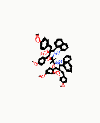 COc1ccc(CC(O)(Cc2ccc(OC)cc2)[C@@H](NC(=O)C(C)(C)C(=O)N[C@@H](c2cccc3ccccc23)C(O)(Cc2ccc(OC)cc2)Cc2ccc(OC)cc2)c2cccc3ccccc23)cc1